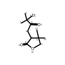 CCC(C)(C)C(=O)CC1C(=O)OCC1(C)C